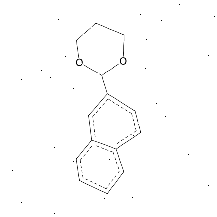 c1ccc2cc(C3OCCCO3)ccc2c1